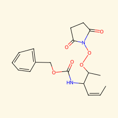 C/C=C\C(NC(=O)OCc1ccccc1)C(C)OON1C(=O)CCC1=O